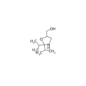 CC(C)C1(C(C)C)NCC(CO)O1